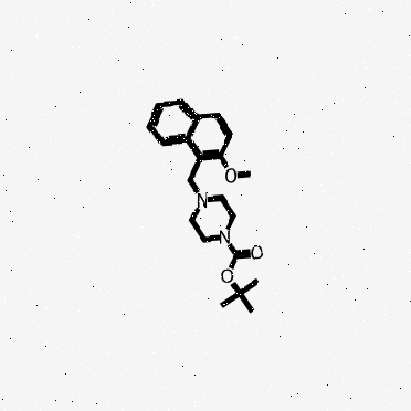 COc1ccc2ccccc2c1CN1CCN(C(=O)OC(C)(C)C)CC1